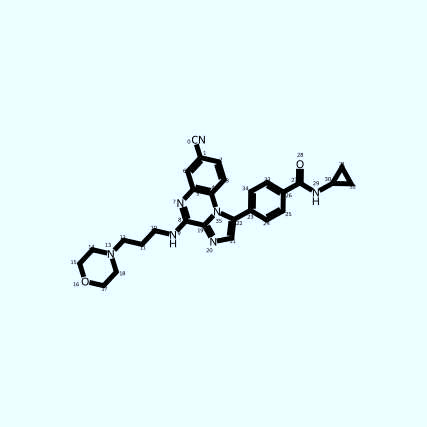 N#Cc1ccc2c(c1)nc(NCCCN1CCOCC1)c1ncc(-c3ccc(C(=O)NC4CC4)cc3)n12